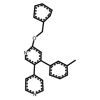 Cc1cccc(-c2cc(OCc3ccccc3)ncc2-c2ccncc2)c1